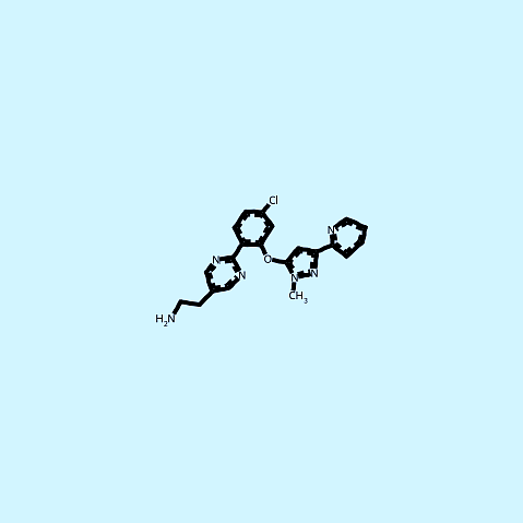 Cn1nc(-c2ccccn2)cc1Oc1cc(Cl)ccc1-c1ncc(CCN)cn1